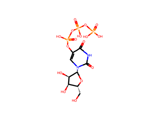 O=c1[nH]c(=O)n([C@@H]2O[C@H](CO)[C@@H](O)[C@H]2O)cc1OP(=O)(O)OP(=O)(O)OP(=O)(O)O